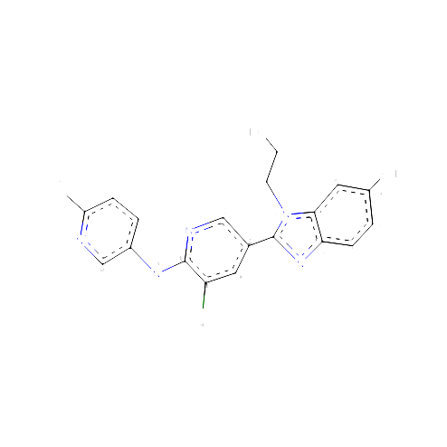 CCCn1c(-c2cnc(Nc3ccc(C)nc3)c(Cl)c2)nc2ccc(C)cc21